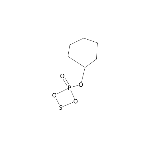 O=P1(OC2CCCCC2)OSO1